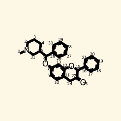 CN1CCCC(C(Oc2ccc3c(c2)OC(c2ccccc2)C(=O)C3)c2ccccc2)C1